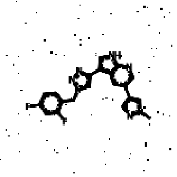 Cn1cc(-c2cnc3[nH]cc(-c4cn(Cc5ccc(F)cc5F)nn4)c3c2)cn1